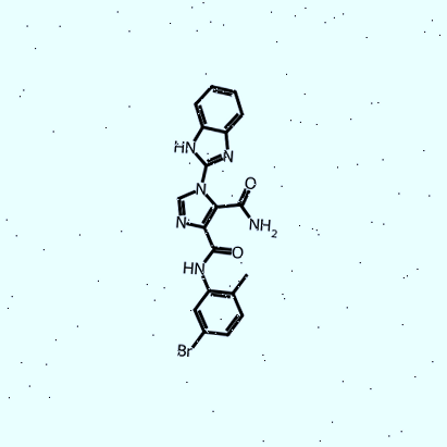 Cc1ccc(Br)cc1NC(=O)c1ncn(-c2nc3ccccc3[nH]2)c1C(N)=O